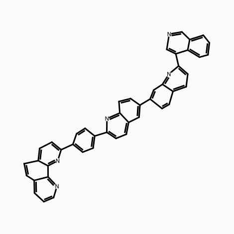 c1ccc2c(-c3ccc4ccc(-c5ccc6nc(-c7ccc(-c8ccc9ccc%10cccnc%10c9n8)cc7)ccc6c5)cc4n3)cncc2c1